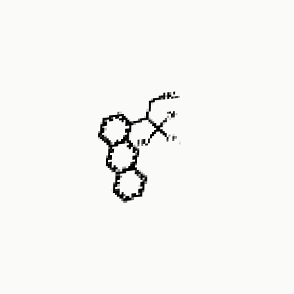 CC(O)(O)C([CH][N+](=O)[O-])c1cccc2cc3ccccc3cc12